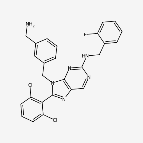 NCc1cccc(Cn2c(-c3c(Cl)cccc3Cl)nc3cnc(NCc4ccccc4F)nc32)c1